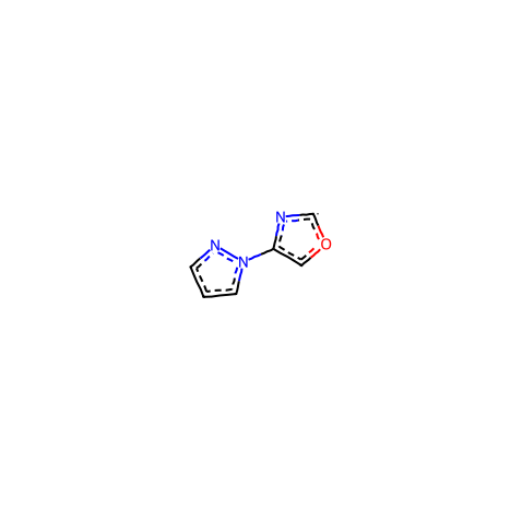 [c]1nc(-n2cccn2)co1